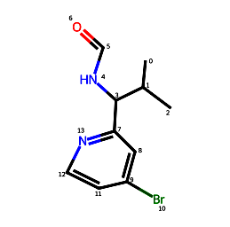 CC(C)C(NC=O)c1cc(Br)ccn1